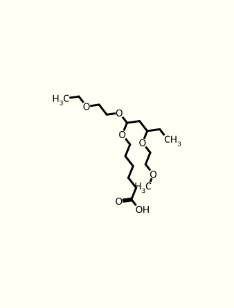 CCOCCOC(CC(CC)OCCOC)OCCCCCC(=O)O